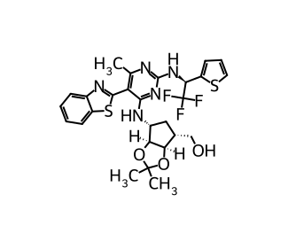 Cc1nc(N[C@@H](c2cccs2)C(F)(F)F)nc(N[C@@H]2C[C@H](CO)[C@H]3OC(C)(C)O[C@H]32)c1-c1nc2ccccc2s1